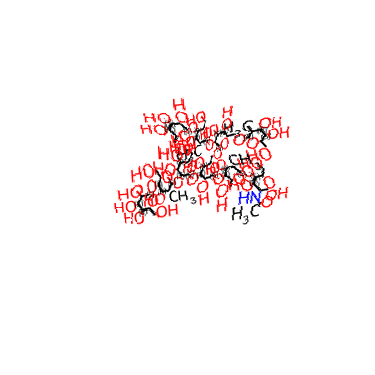 CC(=O)NC1C(O)OC(CO)[C@@H](O[C@@H]2OC(CO)[C@@H](O[C@@H]3OC(CO[C@H]4OC(CO[C@@H]5OC(CO)[C@@H](O)[C@H](O)C5C)[C@@H](O)[C@H](O)C4O[C@@H]4OC(CO)[C@@H](O[C@@H]5OC(CO)[C@H](O)[C@H](O)C5O)[C@H](O)C4C)[C@@H](O)[C@H](O[C@@H]4OC(CO)[C@H](O)C(O)[C@@H]4O[C@@H]4OC(CO)[C@@H](O[C@@H]5OC(CO)[C@H](O)[C@H](O)C5O)[C@H](O)C4C)C3O)[C@H](O)C2C)[C@@H]1O